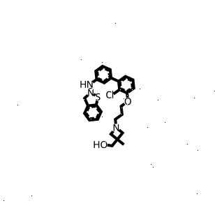 CC1(CO)CN(CCCOc2cccc(-c3cccc(NN4Cc5ccccc5S4)c3)c2Cl)C1